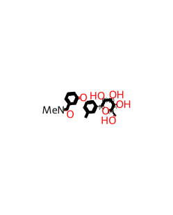 CNC(=O)c1cccc(Oc2cc(C)cc([C@H]3O[C@H](CO)[C@@H](O)[C@H](O)[C@@H]3O)c2)c1